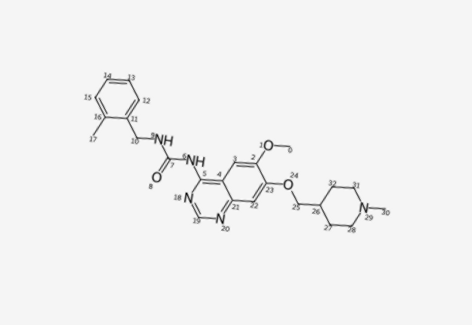 COc1cc2c(NC(=O)NCc3ccccc3C)ncnc2cc1OCC1CCN(C)CC1